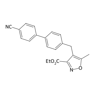 CCOC(=O)c1noc(C)c1Cc1ccc(-c2ccc(C#N)cc2)cc1